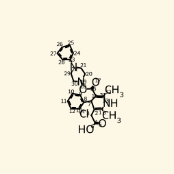 CC1=C(CC(=O)O)C(c2ccccc2Cl)C(C(=O)ON2CCN(c3ccccc3)CC2)=C(C)N1